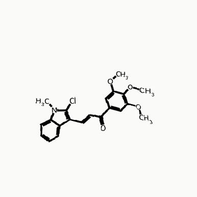 COc1cc(C(=O)/C=C/c2c(Cl)n(C)c3ccccc23)cc(OC)c1OC